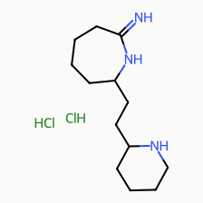 Cl.Cl.N=C1CCCCC(CCC2CCCCN2)N1